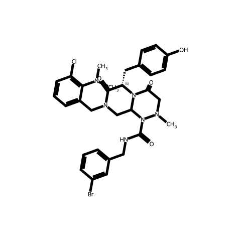 CN(C)c1c(Cl)cccc1CN1CC2N(C(=O)CN(C)N2C(=O)NCc2cccc(Br)c2)[C@@H](Cc2ccc(O)cc2)C1=O